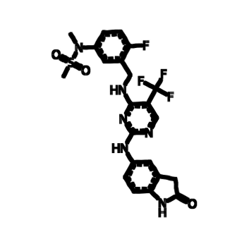 CN(c1ccc(F)c(CNc2nc(Nc3ccc4c(c3)CC(=O)N4)ncc2C(F)(F)F)c1)S(C)(=O)=O